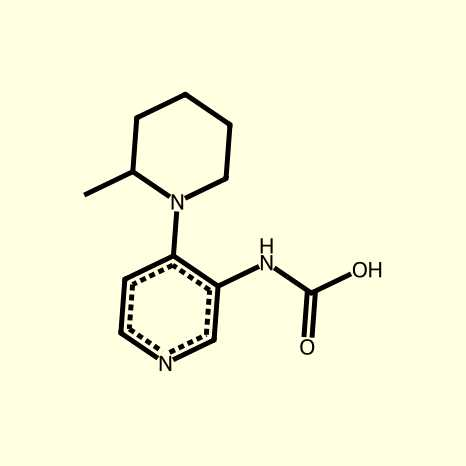 CC1CCCCN1c1ccncc1NC(=O)O